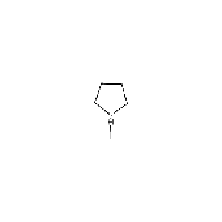 I[SH]1CCCC1